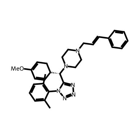 COC1=CCC([C@@H](c2nnnn2-c2c(C)cccc2C)N2CCN(C/C=C/c3ccccc3)CC2)C=C1